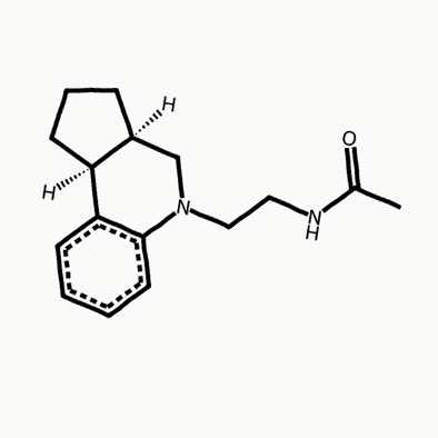 CC(=O)NCCN1C[C@@H]2CCC[C@@H]2c2ccccc21